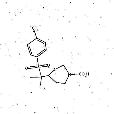 CC(F)(C1CCN(C(=O)O)CC1)S(=O)(=O)c1ccc(C(F)(F)F)cc1